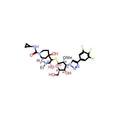 CCN(C)[C@@H](O)C(S[C@@H]1O[C@H](CO)[C@H](O)[C@H](n2cc(-c3cc(F)c(F)c(F)c3)nn2)[C@H]1OC)C1(O)CCN(C(=O)NC2CC2)CC1